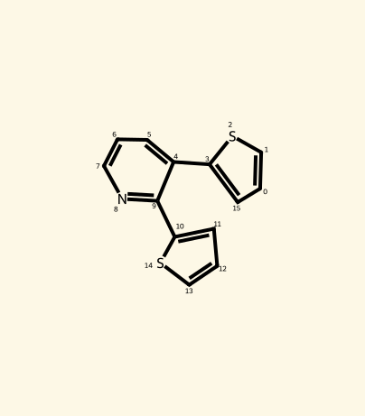 c1csc(-c2cccnc2-c2cccs2)c1